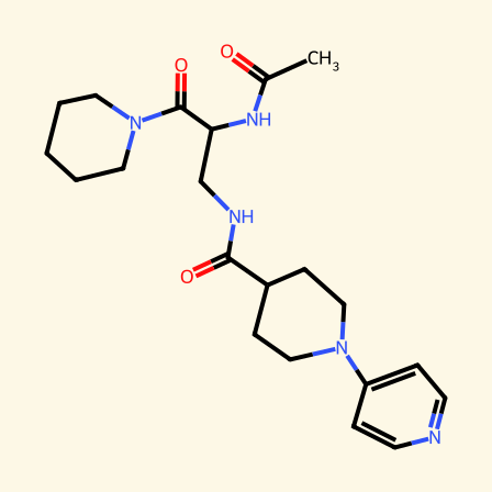 CC(=O)NC(CNC(=O)C1CCN(c2ccncc2)CC1)C(=O)N1CCCCC1